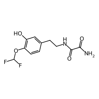 NC(=O)C(=O)NCCc1ccc(OC(F)F)c(O)c1